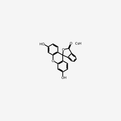 O=C1OC2(c3ccc(O)cc3Oc3cc(O)ccc32)c2ccccc21.[CsH]